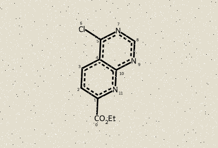 CCOC(=O)c1ccc2c(Cl)ncnc2n1